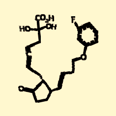 O=C1CC[C@H](/C=C/CCOc2cccc(F)c2)[C@H]1CC=C=CCC(O)(O)C(=O)O